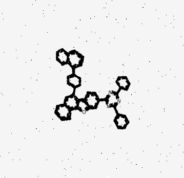 C1=C(c2cccc3ccccc23)CCC(c2cc3ccccc3c3oc4cc(-c5nc(-c6ccccc6)nc(-c6ccccc6)n5)ccc4c23)=C1